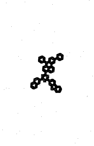 c1ccc(-c2ccc3c(c2)-c2cccc4c(-c5nc(-c6ccc7ccccc7c6)nc(-c6ccc7c(c6)oc6ccccc67)n5)ccc(c24)N3c2ccccc2)cc1